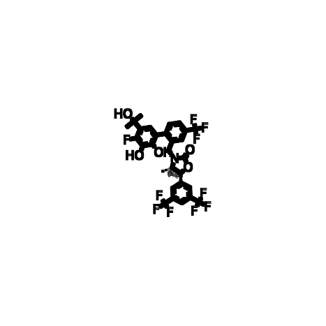 C[C@H]1[C@H](c2cc(C(F)(F)F)cc(C(F)(F)F)c2)OC(=O)N1Cc1cc(C(F)(F)F)ccc1-c1cc(C(C)(C)O)c(F)c(O)c1O